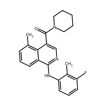 Cc1c(F)cccc1Nc1ncc(C(=O)N2CCCCC2)c2c(C)cccc12